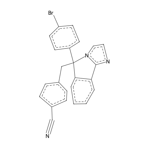 N#Cc1ccc(CC2(c3ccc(Br)cc3)c3ccccc3-c3nccn32)cc1